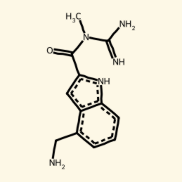 CN(C(=N)N)C(=O)c1cc2c(CN)cccc2[nH]1